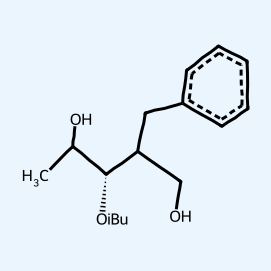 CC(C)CO[C@H](C(C)O)C(CO)Cc1ccccc1